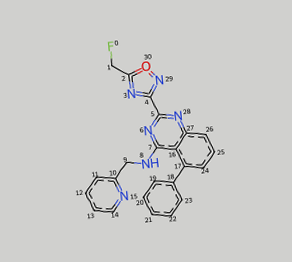 FCc1nc(-c2nc(NCc3ccccn3)c3c(-c4ccccc4)cccc3n2)no1